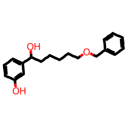 Oc1cccc(C(O)CCCCCOCc2ccccc2)c1